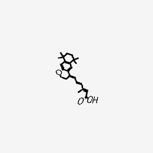 CC(/C=C/C=C1\CCOc2cc3c(cc21)C(C)(C)CCC3(C)C)=C\C(=O)O